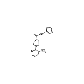 C=C(C#Cc1ccccc1)C1CCN(c2ncccc2[N+](=O)[O-])CC1